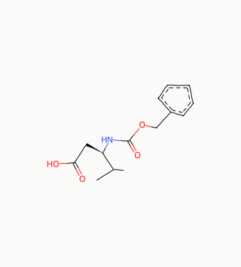 CC(C)[C@@H](CC(=O)O)NC(=O)OCc1ccccc1